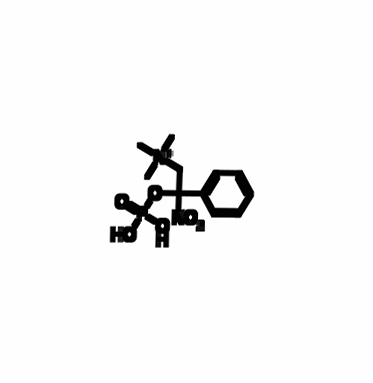 C[N+](C)(C)CC(OP(=O)(O)O)(c1ccccc1)[N+](=O)[O-]